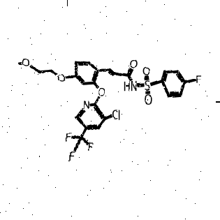 COCCOc1ccc(C=CC(=O)NS(=O)(=O)c2ccc(F)cc2)c(Oc2ncc(C(F)(F)F)cc2Cl)c1